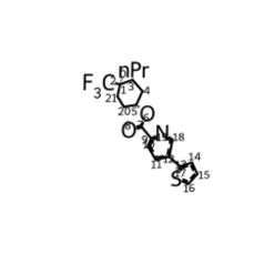 CCC[C@]1(C(F)(F)F)CC[C@H](OC(=O)c2ccc(-c3cccs3)cn2)CC1